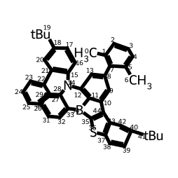 Cc1cccc(C)c1-c1cc2c3c(c1)N(c1ccc(C(C)(C)C)cc1-c1ccccc1)c1ccccc1B3c1sc3ccc(C(C)(C)C)cc3c1-2